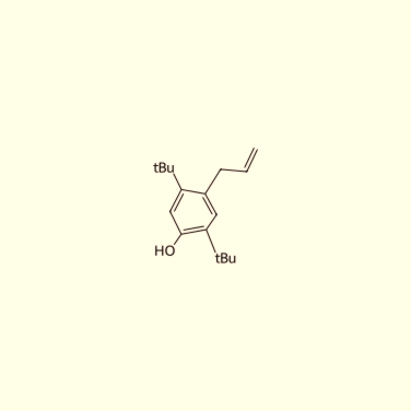 C=CCc1cc(C(C)(C)C)c(O)cc1C(C)(C)C